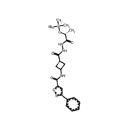 C[C@@H](O[Si](C)(C)C(C)(C)C)C(=O)NNC(=O)C1CC(NC(=O)c2cc(-c3ccccc3)no2)C1